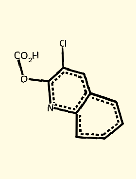 O=C(O)Oc1nc2ccccc2cc1Cl